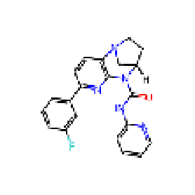 O=C(Nc1ccccn1)N1c2nc(-c3cccc(F)c3)ccc2N2CC[C@H]1C2